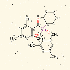 Cc1cc(C)c(C(=O)P(=O)(C(=O)c2c(C)cc(C)cc2C)C2CCCCC2)c(C)c1